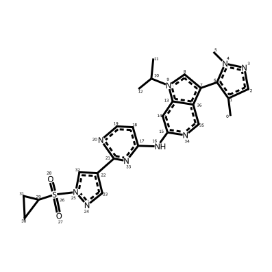 Cc1cnn(C)c1-c1cn(C(C)C)c2cc(Nc3ccnc(-c4cnn(S(=O)(=O)C5CC5)c4)n3)ncc12